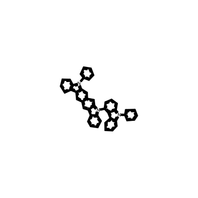 c1ccc(-n2c3ccccc3c3cc4cc5c6ccccc6n(-c6cccc7c6c6ccccc6n7-c6ccccc6)c5cc4cc32)cc1